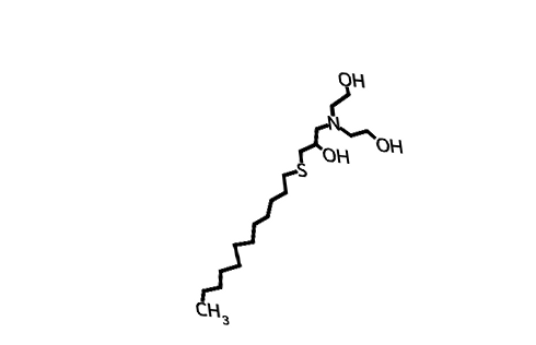 CCCCCCCCCCCCSCC(O)CN(CCO)CCO